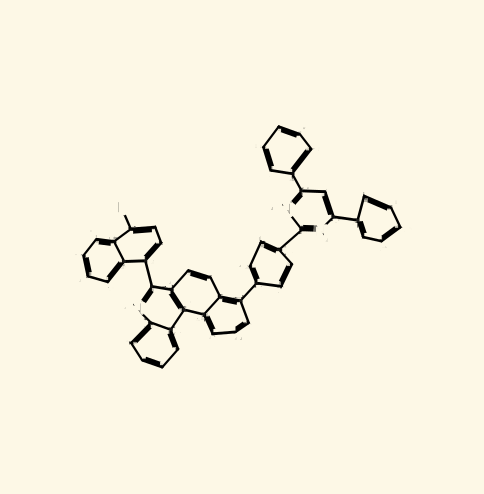 Fc1ccc(-c2nc3ccccc3c3c2ccc2c(-c4ccc(-c5nc(-c6ccccc6)cc(-c6ccccc6)n5)cc4)cccc23)c2ccccc12